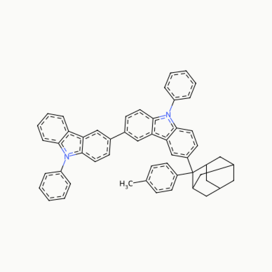 Cc1ccc(C2(c3ccc4c(c3)c3cc(-c5ccc6c(c5)c5ccccc5n6-c5ccccc5)ccc3n4-c3ccccc3)C3CC4CC(C3)CC2C4)cc1